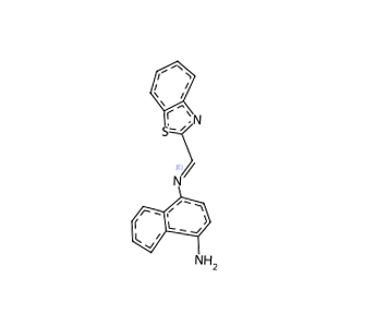 Nc1ccc(/N=C/c2nc3ccccc3s2)c2ccccc12